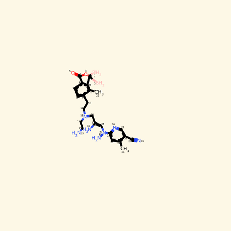 BC1(B)OC(=O)c2ccc(CCN(CCN)C/C(N)=C/N(N)c3cc(C)c(C#N)cn3)c(C)c21